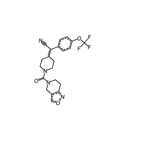 N#CC(=C1CCN(C(=O)N2CCc3nocc3C2)CC1)c1ccc(OC(F)(F)F)cc1